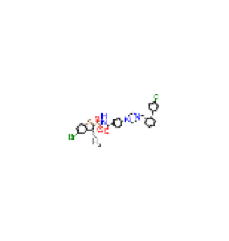 Cc1c(S(=O)(=O)NC(=O)c2ccc(N3CCN(Cc4ccccc4-c4ccc(Cl)cc4)CC3)cc2)sc2ccc(Br)cc12